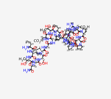 CC(C)C[C@H](NC(=O)[C@H](CO)NC(=O)[C@H](CCC(N)=O)NC(=O)[C@@H](NC(=O)[C@H](CC(C)C)NC(=O)[C@@H](N)CC(C)C)[C@@H](C)O)C(=O)NCC(=O)N[C@H](C(=O)N[C@@H](CC(=O)O)C(=O)N[C@H](C(=O)N[C@@H](CC(C)C)C(=O)N1CCC[C@H]1C(=O)N1CCC[C@H]1C(=O)N1CCC[C@H]1C(=O)N[C@@H](CC(=O)O)C(=O)N1CCC[C@H]1C(=O)N[C@@H](CC(N)=O)C(=O)N1CCC[C@H]1C(=O)N1CCC[C@H]1C(=O)N[C@@H](CCCNC(=N)N)C(=O)O)[C@@H](C)O)C(C)C